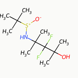 CC(C)(C)[S+]([O-])NC(C)(C)C(F)(F)C(C)(C)O